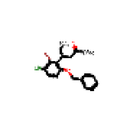 COC(=O)CC(C[N+](=O)[O-])c1c(OCc2ccccc2)ccc(Cl)c1Br